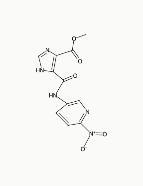 COC(=O)c1nc[nH]c1C(=O)Nc1ccc([N+](=O)[O-])nc1